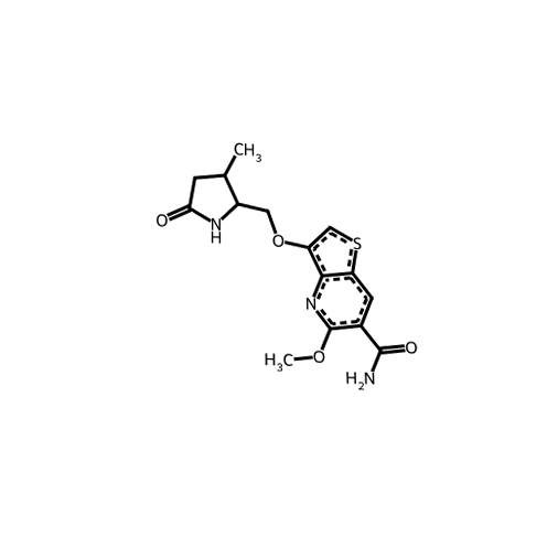 COc1nc2c(OCC3NC(=O)CC3C)csc2cc1C(N)=O